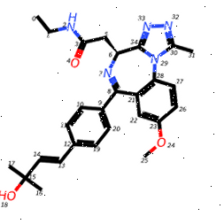 CCNC(=O)C[C@@H]1N=C(c2ccc(/C=C/C(C)(C)O)cc2)c2cc(OC)ccc2-n2c(C)nnc21